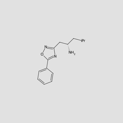 CC(C)C[C@H](N)Cc1noc(-c2ccccc2)n1